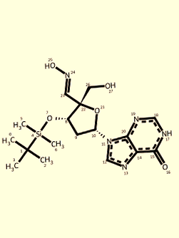 CC(C)(C)[Si](C)(C)O[C@H]1C[C@@H](n2cnc3c(=O)[nH]cnc32)O[C@]1(C=NO)CO